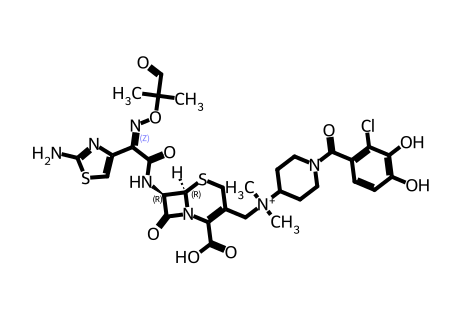 CC(C)(C=O)O/N=C(\C(=O)N[C@@H]1C(=O)N2C(C(=O)O)=C(C[N+](C)(C)C3CCN(C(=O)c4ccc(O)c(O)c4Cl)CC3)CS[C@H]12)c1csc(N)n1